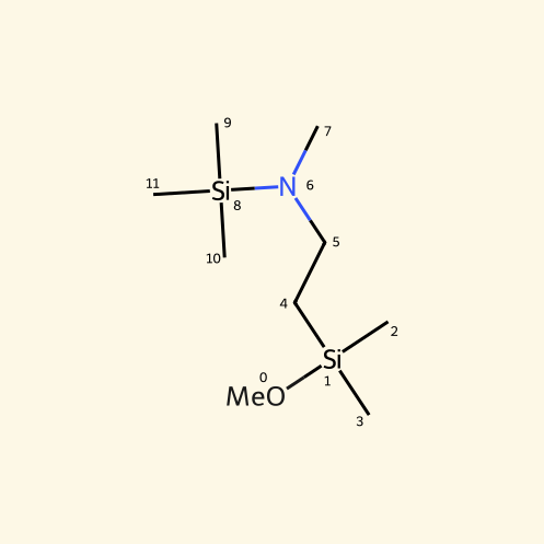 CO[Si](C)(C)CCN(C)[Si](C)(C)C